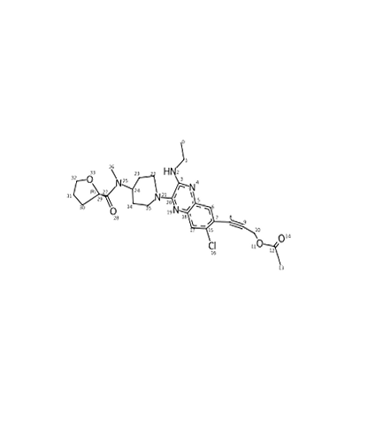 CCNc1nc2cc(C#CCOC(C)=O)c(Cl)cc2nc1N1CCC(N(C)C(=O)[C@H]2CCCO2)CC1